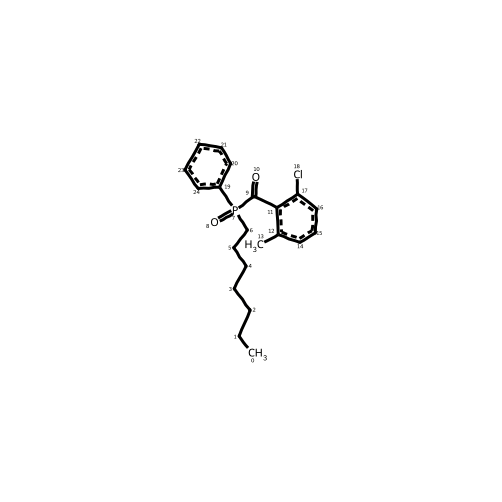 CCCCCCCP(=O)(C(=O)c1c(C)cccc1Cl)c1ccccc1